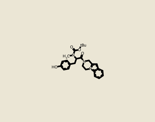 CN(C(=O)OC(C)(C)C)C(Cc1ccc(O)cc1)C(=O)N1CCn2c(cc3ccccc32)C1